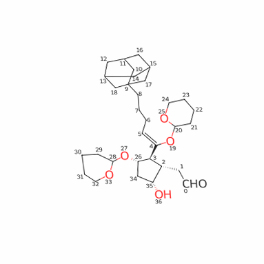 O=CC[C@H]1[C@H](C(=CCCCC23CC4CC(CC(C4)C2)C3)OC2CCCCO2)[C@@H](OC2CCCCO2)C[C@H]1O